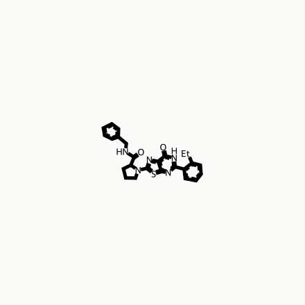 CCc1ccccc1-c1nc2sc(N3CCCC3C(=O)NCc3ccccc3)nc2c(=O)[nH]1